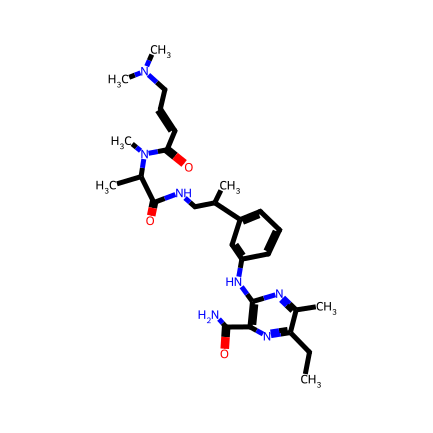 CCc1nc(C(N)=O)c(Nc2cccc(C(C)CNC(=O)C(C)N(C)C(=O)/C=C/CN(C)C)c2)nc1C